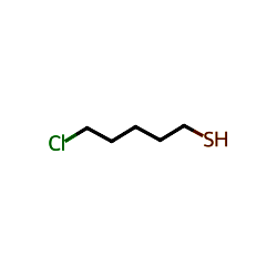 SCCCCCCl